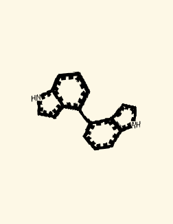 c1cc(-c2cccc3[nH]ccc23)c2cc[nH]c2c1